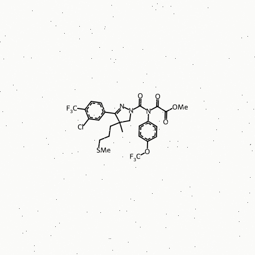 COC(=O)C(=O)N(C(=O)N1CC(C)(CCCSC)C(c2ccc(C(F)(F)F)c(Cl)c2)=N1)c1ccc(OC(F)(F)F)cc1